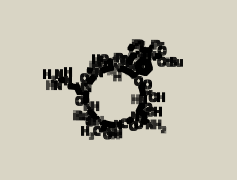 CC[C@H](C)C1NC(=O)[C@@H](CCCNC(=N)N)NC(=O)[C@H](CC(C)C)NC(=O)[C@H]([C@H](O)C(C)C)NC(=O)[C@@H](NC(=O)[C@H](CC(C)C)NC(=O)[C@H](NC(=O)OC(C)(C)C)C(C)C)[C@@H](c2ccccc2)OC(=O)[C@H](CO)NC(=O)[C@H]([C@H](O)C(N)=O)NC(=O)CNC(=O)C([C@H](C)O)NC1=O